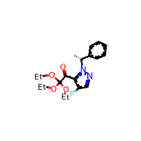 CCOC(OCC)(OCC)C(=O)c1c(F)cnn1[C@H](C)c1ccccc1